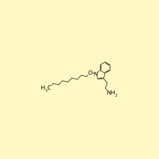 CCCCCCCCCOn1cc(CCN)c2ccccc21